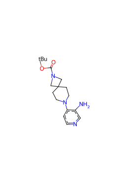 CC(C)(C)OC(=O)N1CC2(CCN(c3ccncc3N)CC2)C1